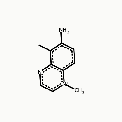 C[n+]1ccnc2c(I)c(N)ccc21